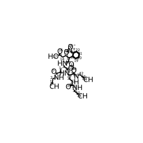 C#CCNC(=O)CC[C@H](NC(=O)C(CCC(=O)O)c1ccccc1[N+](=O)[O-])C(=O)N[C@H](CCC(=O)NCC#C)C(=O)NCC#C